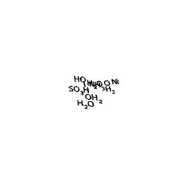 N.O.O.O.O.O=S(=O)(O)O.[Ni]